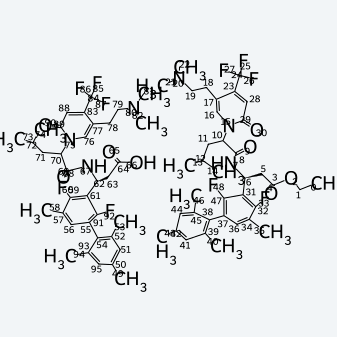 CCOC(=O)C[C@H](NC(=O)C(CC(C)C)n1cc(CCN(C)C)c(C(F)(F)F)cc1=O)c1c(F)c(C)cc(-c2c(C)cc(C)cc2C)c1F.Cc1cc(C)c(-c2cc(C)c(F)c([C@H](CC(=O)O)NC(=O)C(CC(C)C)n3cc(CCN(C)C)c(C(F)(F)F)cc3=O)c2F)c(C)c1